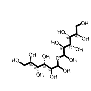 OC[C@@H](O)[C@@H](O)[C@H](O)[C@H](O)C(O)OC(O)[C@@H](O)[C@@H](O)[C@H](O)[C@H](O)CO